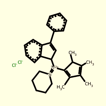 CC1=C(C)C(C)[C]([Zr+2]([CH]2C=C(c3ccccc3)c3ccccc32)=[Si]2CCCCC2)=C1C.[Cl-].[Cl-]